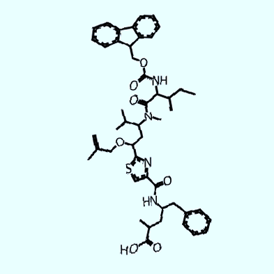 C=C(C)COC(CC(C(C)C)N(C)C(=O)C(NC(=O)OCC1c2ccccc2-c2ccccc21)C(C)CC)c1nc(C(=O)NC(Cc2ccccc2)CC(C)C(=O)O)cs1